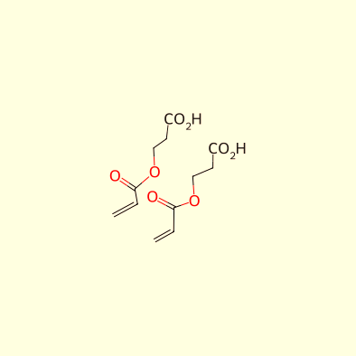 C=CC(=O)OCCC(=O)O.C=CC(=O)OCCC(=O)O